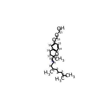 CC(C)CCCC(C)C/C=C/C1(C)CCc2cc(OCOCO)ccc2O1